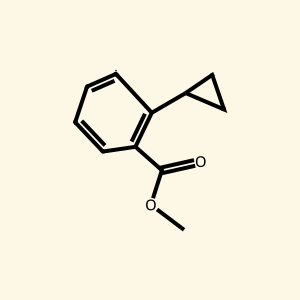 COC(=O)c1ccc[c]c1C1CC1